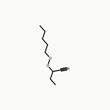 CCCCCOOC(C#N)CC